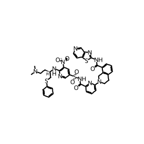 CN(C)CC[C@H](CSc1ccccc1)Nc1ncc(S(=O)(=O)NC(=O)c2cccc(N3CCc4cccc(C(=O)Nc5nc6cnccc6s5)c4C3)n2)cc1[N+](=O)[O-]